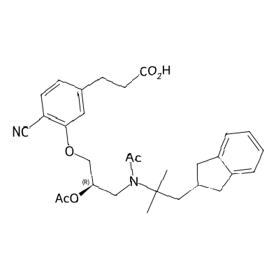 CC(=O)O[C@@H](COc1cc(CCC(=O)O)ccc1C#N)CN(C(C)=O)C(C)(C)CC1Cc2ccccc2C1